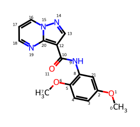 COc1ccc(OC)c(NC(=O)c2cnn3cccnc23)c1